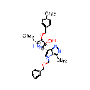 COC[C@H]1N[C@@H](c2cn(COCc3ccccc3)c3c(OC)ncnc23)[C@H](O)[C@@H]1OCc1ccc(OC)cc1